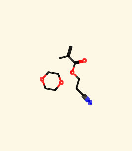 C1COCCO1.C=C(C)C(=O)OCCC#N